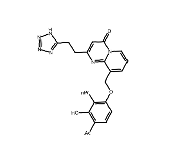 CCCc1c(OCc2cccn3c(=O)cc(CCc4nnn[nH]4)nc23)ccc(C(C)=O)c1O